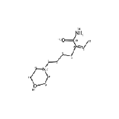 CC=C(CCCCN1CCOCC1)C(N)=O